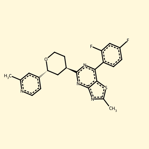 Cc1cc([C@H]2C[C@H](c3nc(-c4ccc(F)cc4F)c4sc(C)nc4n3)CCO2)ccn1